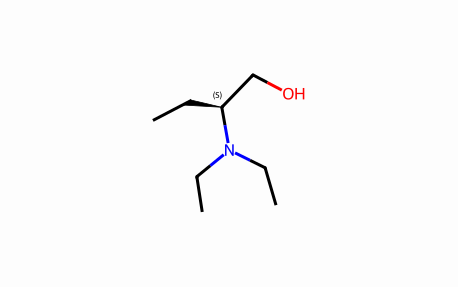 CC[C@@H](CO)N(CC)CC